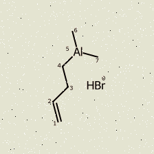 Br.C=CC[CH2][Al]([CH3])[CH3]